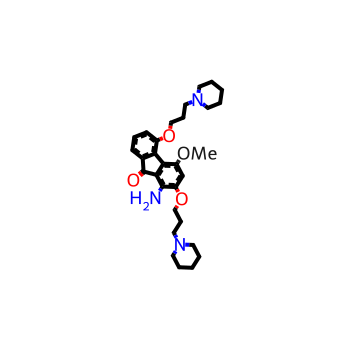 COc1cc(OCCCN2CCCCC2)c(N)c2c1-c1c(OCCCN3CCCCC3)cccc1C2=O